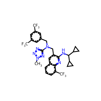 Cn1nnc(N(Cc2cc(C(F)(F)F)cc(C(F)(F)F)c2)Cc2cc3cccc(C(F)(F)F)c3nc2NC(C2CC2)C2CC2)n1